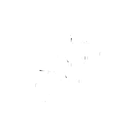 CC(=O)O[C@@]1(C(=O)CF)[C@H](C)C[C@H]2[C@@H]3C[C@H](F)C4=C(F)C(=O)C=C[C@]4(C)[C@H]3[C@@H](O)C[C@@]21C